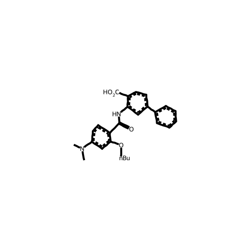 CCCCOc1cc(N(C)C)ccc1C(=O)Nc1cc(-c2ccccc2)ccc1C(=O)O